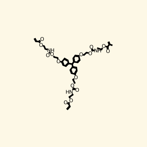 C=CC(=O)OCCNC(=O)OCCOc1ccc(C(c2ccc(OCCOC(=O)NCCOC(=O)C=C)cc2)c2ccc(OCCOC(=O)NCCOC(=O)C(=C)C)cc2)cc1